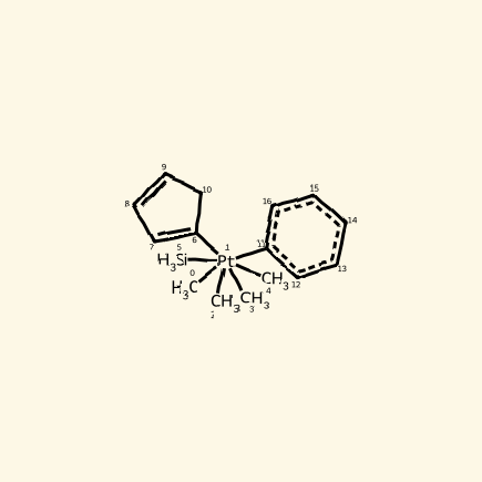 [CH3][Pt]([CH3])([CH3])([CH3])([SiH3])([C]1=CC=CC1)[c]1ccccc1